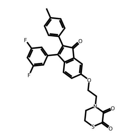 Cc1ccc(C2=C(c3cc(F)cc(F)c3)c3ccc(OCCN4CCSC(=O)C4=O)cc3C2=O)cc1